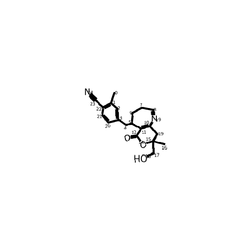 Cc1cc(CC2CCC=NC3=C2C(=O)OC(C)(CO)C3)ccc1C#N